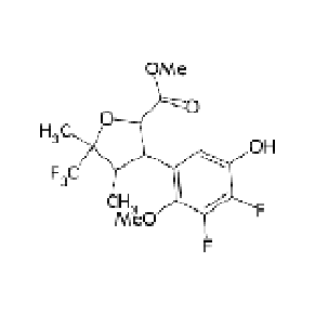 COC(=O)C1OC(C)(C(F)(F)F)C(C)C1c1cc(O)c(F)c(F)c1OC